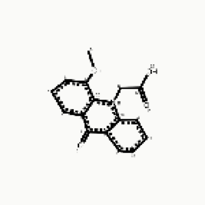 COc1cccc2c(=O)c3ccccc3n(CC(=O)O)c12